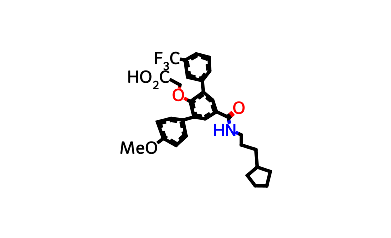 COc1ccc(-c2cc(C(=O)NCCCC3CCCC3)cc(-c3cccc(C(F)(F)F)c3)c2OCC(=O)O)cc1